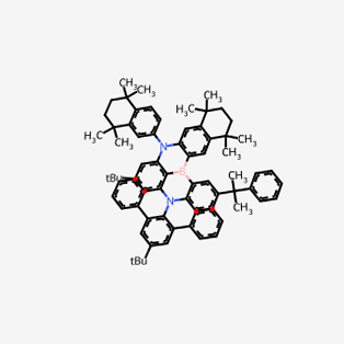 CC(C)(C)c1cc(-c2ccccc2)c(N2c3ccc(C(C)(C)c4ccccc4)cc3B3c4cc5c(cc4N(c4ccc6c(c4)C(C)(C)CCC6(C)C)c4cc(C(C)(C)C)cc2c43)C(C)(C)CCC5(C)C)c(-c2ccccc2)c1